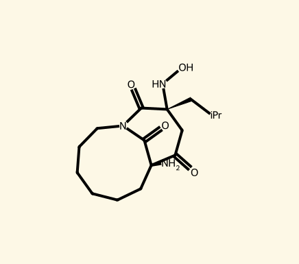 CC(C)C[C@@]1(NO)CC(=O)C2(N)CCCCCCN(C2=O)C1=O